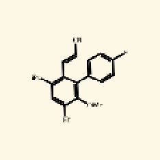 CCc1cc(C(C)C)c(C=CC#N)c(-c2ccc(F)cc2)c1OC